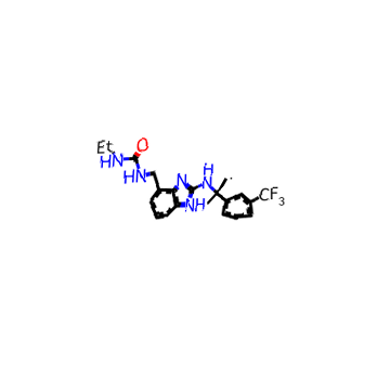 [CH2]C(C)(Nc1nc2c(CNC(=O)NCC)cccc2[nH]1)c1cccc(C(F)(F)F)c1